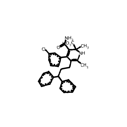 CC1=C(CCC(c2ccccc2)c2ccccc2)C(c2cccc(Cl)c2)=C(C(N)=O)C(C)(C(=O)O)N1